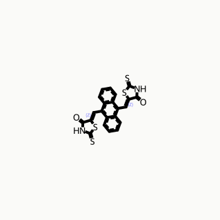 O=C1NC(=S)S/C1=C\c1c2ccccc2c(/C=C2\SC(=S)NC2=O)c2ccccc12